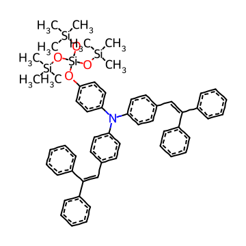 C[Si](C)(C)O[Si](Oc1ccc(N(c2ccc(C=C(c3ccccc3)c3ccccc3)cc2)c2ccc(C=C(c3ccccc3)c3ccccc3)cc2)cc1)(O[Si](C)(C)C)O[Si](C)(C)C